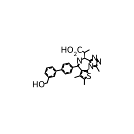 Cc1sc2c(c1C)C(c1ccc(-c3cccc(CO)c3)cc1)=N[C@@H](C(C)C(=O)O)c1nnc(C)n1-2